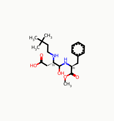 COC(=O)[C@H](Cc1ccccc1)NC(O)[C@H](CC(=O)O)NCCC(C)(C)C